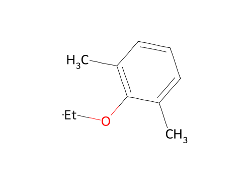 C[CH]Oc1c(C)cccc1C